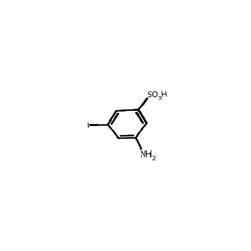 Nc1cc(I)cc(S(=O)(=O)O)c1